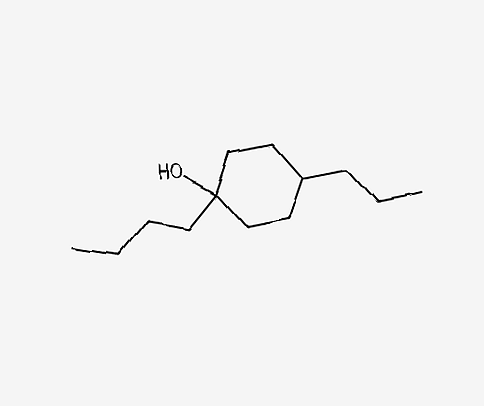 CCCCC1(O)CCC(CCC)CC1